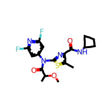 COC(C)C(=O)N(c1cc(F)nc(F)c1)c1nc(C(=O)NC2CCC2)c(C)s1